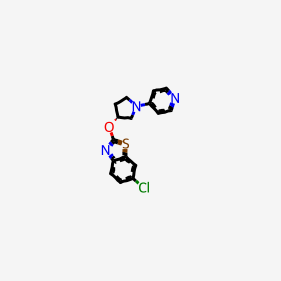 Clc1ccc2nc(O[C@@H]3CCN(c4ccncc4)C3)sc2c1